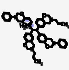 C=CCN1COc2ccc(C(/C(C)=C/C=C3/OCN(c4ccccc4)CC3=C)C(c3ccc4c(c3)CN(CC=C)CO4)c3ccc4c(c3)CN(c3ccccc3)CO4)cc2C1